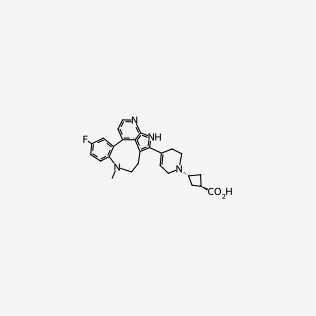 CN1CCc2c(C3=CCN([C@H]4C[C@H](C(=O)O)C4)CC3)[nH]c3nccc(c23)-c2cc(F)ccc21